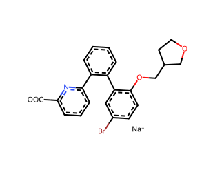 O=C([O-])c1cccc(-c2ccccc2-c2cc(Br)ccc2OCC2CCOC2)n1.[Na+]